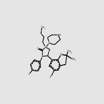 CCCC[N+]1(N2CCNCC2)CC(c2cc(F)cc3c2OC(C)(C)C3)N(c2ccc(F)cc2)C1=O